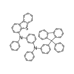 c1ccc(N(c2cccc(N(c3ccccc3)c3cccc4c3sc3ccccc34)c2)c2cccc(C3(c4ccccc4)c4ccccc4-c4ccccc43)c2)cc1